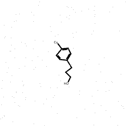 OCCCc1cc[c]([Cu])cc1